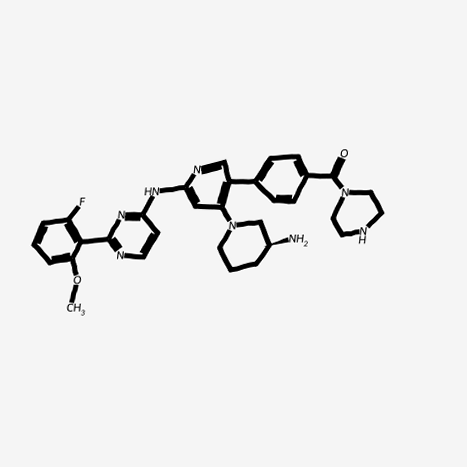 COc1cccc(F)c1-c1nccc(Nc2cc(N3CCC[C@H](N)C3)c(-c3ccc(C(=O)N4CCNCC4)cc3)cn2)n1